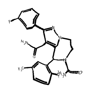 NC(=O)c1c(-c2cccc(F)c2)nn2c1C(c1cc(C(F)(F)F)ccc1F)N(C(N)=O)CC2